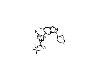 Cc1cc2cnn(C3CCCCO3)c2cc1[C@H]1CN(C(=O)OC(C)(C)C)C[C@H]1F